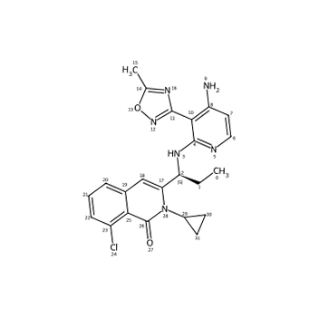 CC[C@H](Nc1nccc(N)c1-c1noc(C)n1)c1cc2cccc(Cl)c2c(=O)n1C1CC1